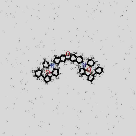 c1ccc(-c2cccc3c2oc2c(N(c4ccccc4)c4ccc5cc6oc7cc8ccc(N(c9ccccc9)c9cccc%10c9oc9c(-c%11ccccc%11)cccc9%10)cc8cc7c6cc5c4)cccc23)cc1